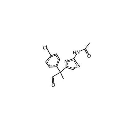 CC(=O)Nc1nc(C(C)(C=O)c2ccc(Cl)cc2)cs1